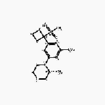 CSc1nc(N2CCOC[C@H]2C)cc(C2(S(C)(=N)=O)CCC2)n1